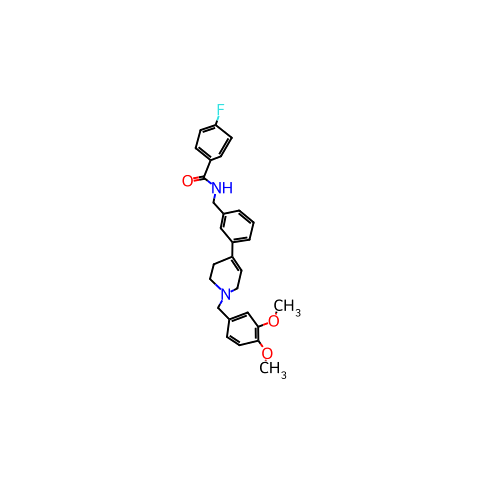 COc1ccc(CN2CC=C(c3cccc(CNC(=O)c4ccc(F)cc4)c3)CC2)cc1OC